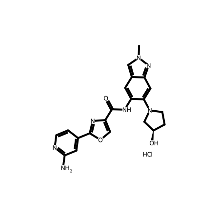 Cl.Cn1cc2cc(NC(=O)c3coc(-c4ccnc(N)c4)n3)c(N3CC[C@@H](O)C3)cc2n1